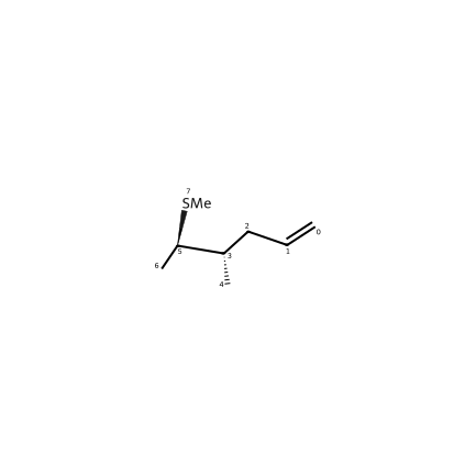 C=CC[C@H](C)[C@@H](C)SC